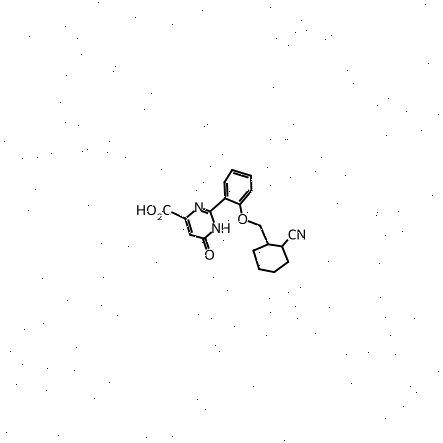 N#CC1CCCCC1COc1ccccc1-c1nc(C(=O)O)cc(=O)[nH]1